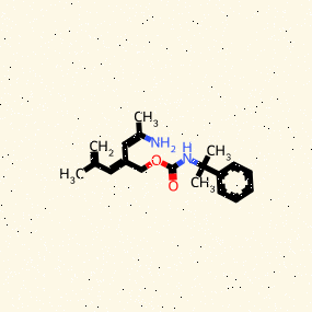 C=C(C)/C=C(\C=C(\C)N)COC(=O)NC(C)(C)c1ccccc1